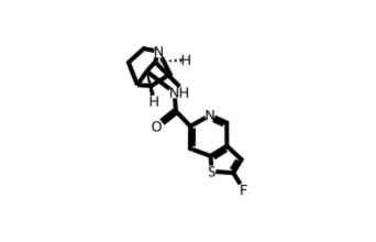 C[C@H]1[C@H](NC(=O)c2cc3sc(F)cc3cn2)C2CCN1CC2